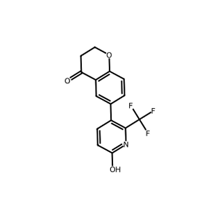 O=C1CCOc2ccc(-c3ccc(O)nc3C(F)(F)F)cc21